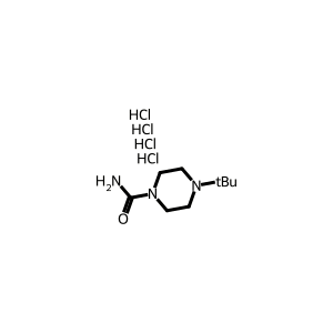 CC(C)(C)N1CCN(C(N)=O)CC1.Cl.Cl.Cl.Cl